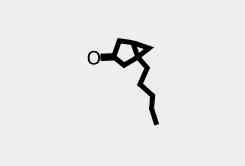 CCCCCC12CC(=O)CC1C2